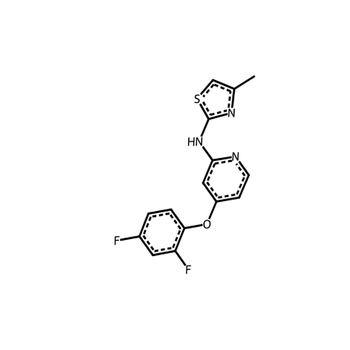 Cc1csc(Nc2cc(Oc3ccc(F)cc3F)ccn2)n1